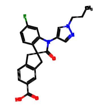 CCCn1cc(N2C(=O)C3(Cc4ccc(C(=O)O)cc4C3)c3ccc(F)cc32)cn1